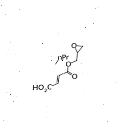 CCCC.O=C(O)C=CC(=O)OCC1CO1